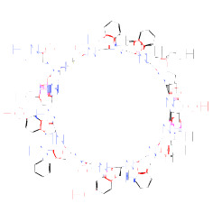 CCCC[C@H]1C(=O)N2CCC[C@@H]2C(=O)N2C[C@H](O)C[C@H]2C(=O)N[C@@H](C(C)C)C(=O)N(C)[C@@H](Cc2ccccc2)C(=O)N[C@H]2Cc3ccc(O)cc3N(CC(=O)N[C@@H](Cc3c[nH]c4ccccc34)C(=O)NC(Cc3ccc(O)cc3)C(=O)N[C@@H](CC(C)C)C(=O)N[C@H](C(=O)NCC(N)=O)CSCC(=O)N[C@@H](Cc3ccccc3)C(=O)N(C)[C@@H](Cc3ccccc3)C(=O)N1C)C2=O